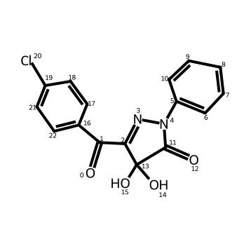 O=C(C1=NN(c2ccccc2)C(=O)C1(O)O)c1ccc(Cl)cc1